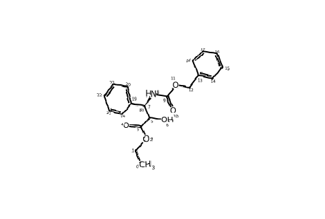 CCOC(=O)C(O)[C@H](NC(=O)OCc1ccccc1)c1ccccc1